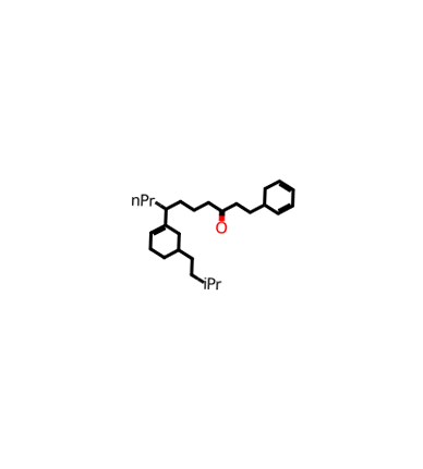 CCCC(CCCC(=O)CCC1C=CC=CC1)C1=CCCC(CCC(C)C)C1